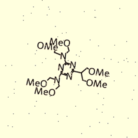 COCC(COC)c1nc(N(COC)COC)nc(N(COC)COC)n1